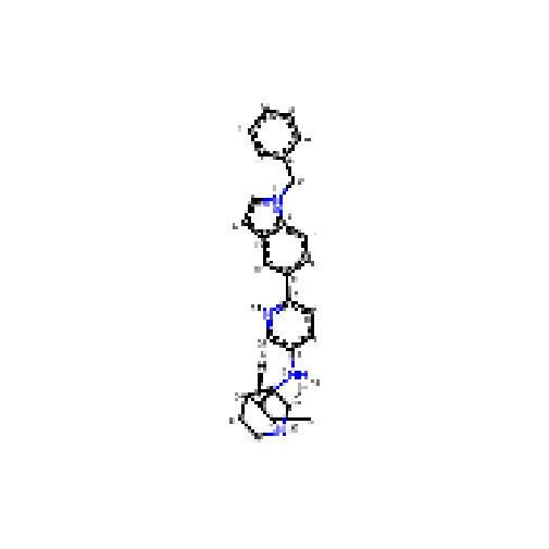 C[C@@H]1[C@@H](Nc2ccc(-c3ccc4c(ccn4Cc4ccccc4)c3)nc2)C2CCN1CC2